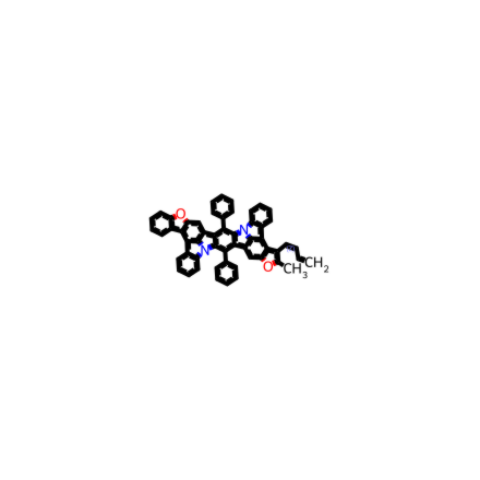 C=C/C=C\c1c(C)oc2cc3c4c(-c5ccccc5)c5c(c(-c6ccccc6)c4n4c6ccccc6c(c12)c34)c1cc2oc3ccccc3c2c2c3ccccc3n5c12